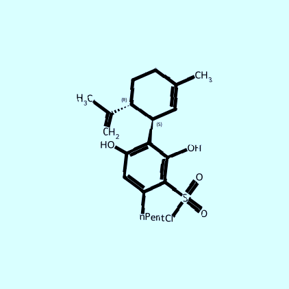 C=C(C)[C@@H]1CCC(C)=C[C@H]1c1c(O)cc(CCCCC)c(S(=O)(=O)Cl)c1O